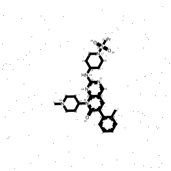 Cc1ccccc1-c1cc2cnc(NC3CCN(S(=O)(=O)C(C)C)CC3)nc2n(C2CCN(C)CC2)c1=O